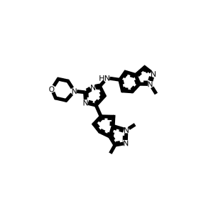 Cc1nn(C)c2cc(-c3cc(Nc4ccc5c(cnn5C)c4)nc(N4CCOCC4)n3)ccc12